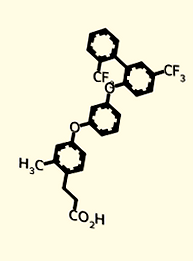 Cc1cc(Oc2cccc(Oc3ccc(C(F)(F)F)cc3-c3ccccc3C(F)(F)F)c2)ccc1CCC(=O)O